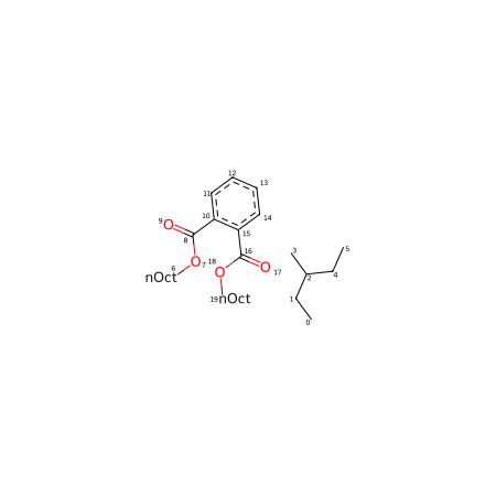 CCC(C)CC.CCCCCCCCOC(=O)c1ccccc1C(=O)OCCCCCCCC